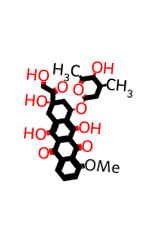 COc1cccc2c1C(=O)c1c(O)c3c(c(O)c1C2=O)C[C@@](O)(C(=O)CO)C[C@@H]3O[C@H]1C[C@H](C)[C@H](O)[C@H](C)O1